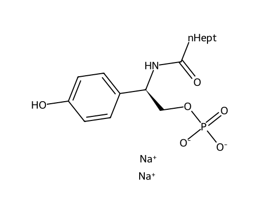 CCCCCCCC(=O)N[C@@H](COP(=O)([O-])[O-])c1ccc(O)cc1.[Na+].[Na+]